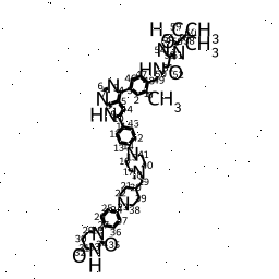 Cc1cc(-c2ncnc3[nH]c(-c4ccc(N5CCN(CC6CCN(c7ccc(N8CCC(=O)NC8=O)cc7)CC6)CC5)cc4)cc23)ccc1CNC(=O)c1noc(C(C)(C)C)n1